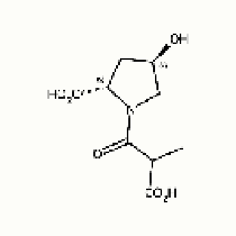 CC(C(=O)O)C(=O)N1C[C@H](O)C[C@H]1C(=O)O